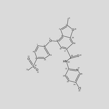 Cc1cc2c(Oc3ccc(S(C)(=O)=O)cc3)cc(C(=O)Nc3ccc(Cl)cn3)cc2o1